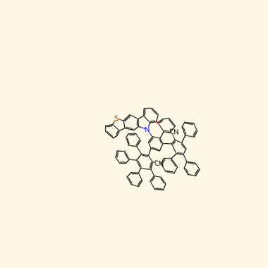 N#Cc1c(-c2ccccc2)c(-c2ccccc2)c(-c2ccccc2)c(-c2ccccc2)c1-c1cc(-c2c(C#N)c(-c3ccccc3)cc(-c3ccccc3)c2-c2ccccc2)c(-c2ccccc2)c(-n2c3ccccc3c3cc4sc5ccccc5c4cc32)c1